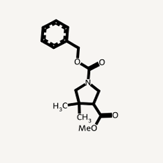 COC(=O)C1CN(C(=O)OCc2ccccc2)CC1(C)C